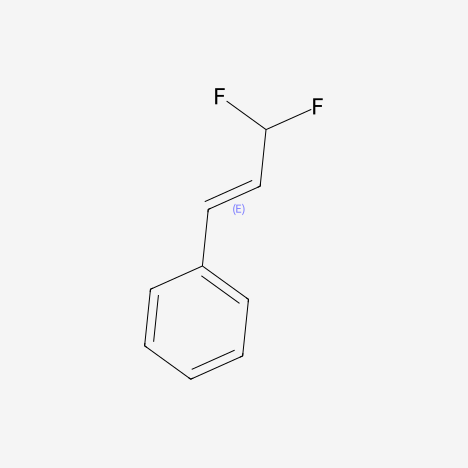 FC(F)/C=C/c1ccccc1